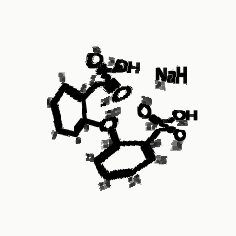 O=S(=O)(O)c1ccccc1Oc1ccccc1S(=O)(=O)O.[NaH]